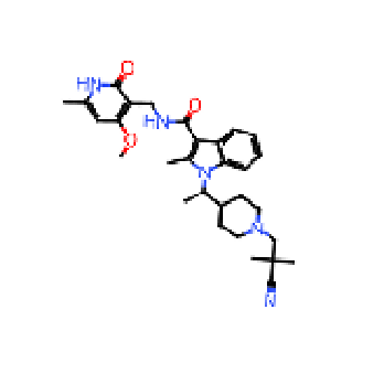 COc1cc(C)[nH]c(=O)c1CNC(=O)c1c(C)n([C@H](C)C2CCN(CC(C)(C)C#N)CC2)c2ccccc12